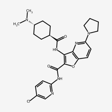 CN(C)[C@H]1CC[C@H](C(=O)Nc2c(C(=O)Nc3ccc(Cl)cn3)oc3ccc(N4CCCC4)nc23)CC1